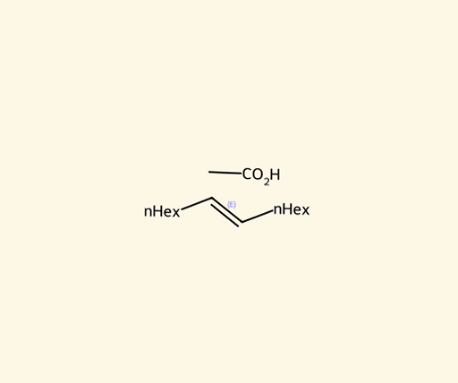 CC(=O)O.CCCCCC/C=C/CCCCCC